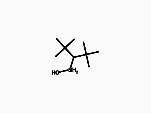 CC(C)(C)C([SiH2]O)C(C)(C)C